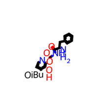 CC(C)COc1ccnc(OC(=O)NC(=O)[C@@H](N)Cc2ccccc2)c1O